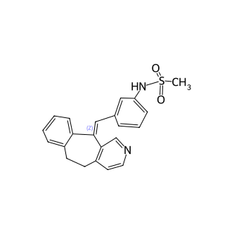 CS(=O)(=O)Nc1cccc(/C=C2/c3ccccc3CCc3ccncc32)c1